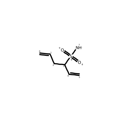 C=CCC(C=C)S([NH])(=O)=O